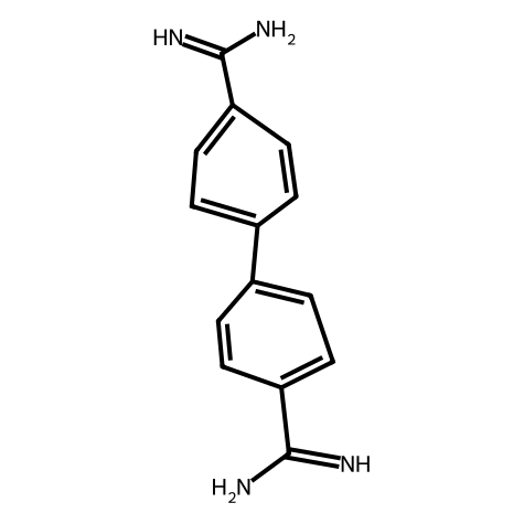 N=C(N)c1ccc(-c2ccc(C(=N)N)cc2)cc1